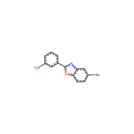 CC(C)(C)c1ccc2oc(-c3cccc(N)c3)nc2c1